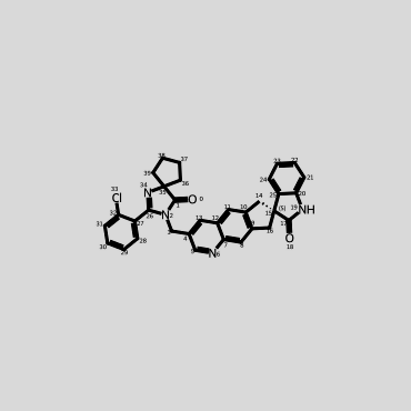 O=C1N(Cc2cnc3cc4c(cc3c2)C[C@@]2(C4)C(=O)Nc3ccccc32)C(c2ccccc2Cl)=NC12CCCC2